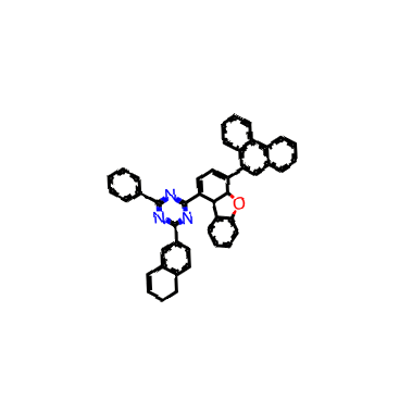 C1=Cc2cc(-c3nc(C4=CC=C(c5cc6ccccc6c6ccccc56)C5Oc6ccccc6C45)nc(-c4ccccc4)n3)ccc2CC1